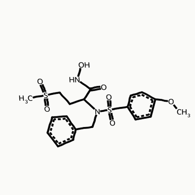 COc1ccc(S(=O)(=O)N(Cc2ccccc2)C(CCS(C)(=O)=O)C(=O)NO)cc1